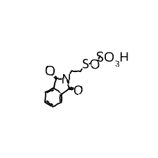 O=C1c2ccccc2C(=O)N1CCSOS(=O)(=O)O